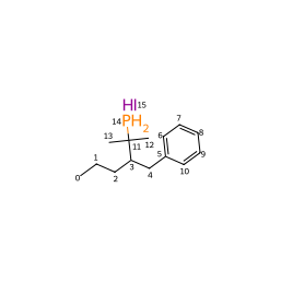 CCCC(Cc1ccccc1)C(C)(C)P.I